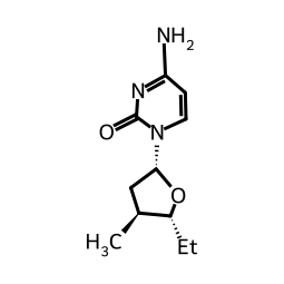 CC[C@H]1O[C@@H](n2ccc(N)nc2=O)C[C@@H]1C